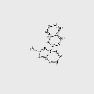 NC1=N[N+]2(c3cnc4nccnc4c3)C=CN=CC2=N1